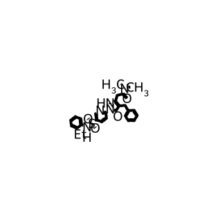 CCc1ccccc1NS(=O)(=O)c1ccc(-n2[nH]c(CC(=O)N(C)C)c(Cc3ccccc3)c2=O)nc1